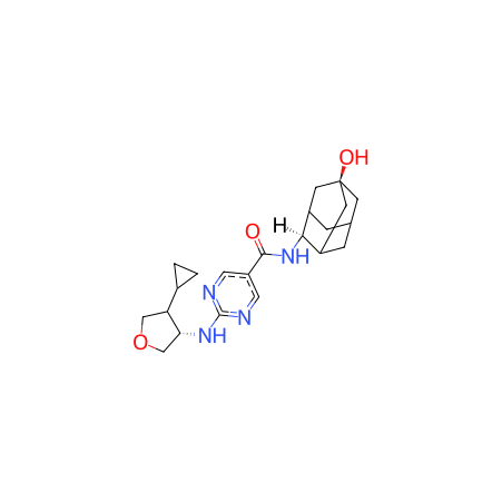 O=C(N[C@H]1C2CC3CC1C[C@@](O)(C3)C2)c1cnc(N[C@@H]2COCC2C2CC2)nc1